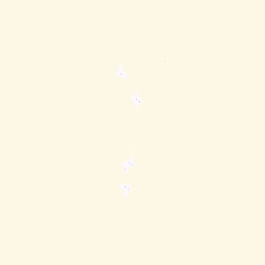 C/C(=N\OCC(C)(C)CO/N=C1\CCCc2ccc(C)nc21)c1cc(C)cc(C)n1